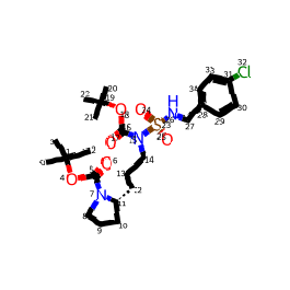 CC(C)(C)OC(=O)N1CCC[C@H]1CCCN(C(=O)OC(C)(C)C)S(=O)(=O)NCc1ccc(Cl)cc1